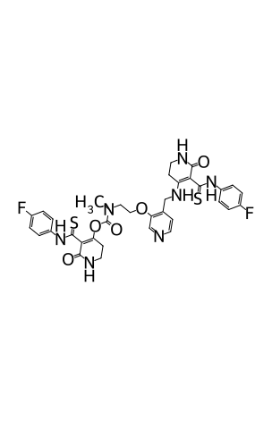 CN(CCOc1cnccc1CNC1=C(C(=S)Nc2ccc(F)cc2)C(=O)NCC1)C(=O)OC1=C(C(=S)Nc2ccc(F)cc2)C(=O)NCC1